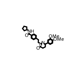 COc1ccc(C2=NN(CCc3ccc(C(=O)NC4CCCC4)cc3)C(=O)CC2)cc1OC